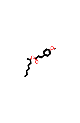 CCCCCCC(C)OC(=O)/C=C/c1ccc(OC)cc1